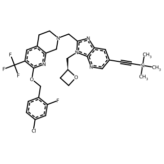 C[Si](C)(C)C#Cc1cnc2c(c1)nc(CN1CCc3cc(C(F)(F)F)c(OCc4ccc(Cl)cc4F)nc3C1)n2C[C@@H]1CCO1